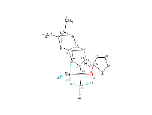 CC1C(C)C2CC1C1C3CC(C21)C(C(OC1(C)CCCC1)(C(F)(F)F)C(F)(F)F)C3